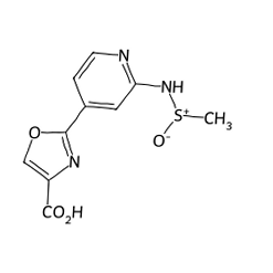 C[S+]([O-])Nc1cc(-c2nc(C(=O)O)co2)ccn1